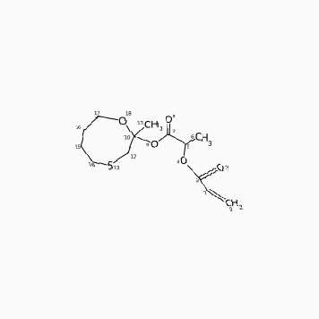 C=CC(=O)OC(C)C(=O)OC1(C)CSCCCCO1